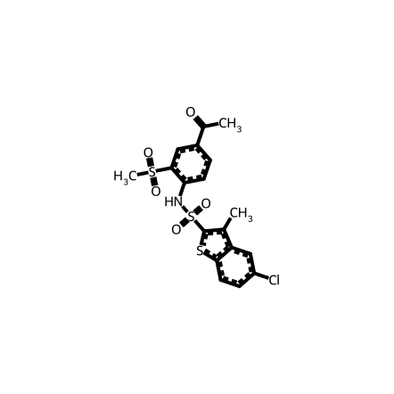 CC(=O)c1ccc(NS(=O)(=O)c2sc3ccc(Cl)cc3c2C)c(S(C)(=O)=O)c1